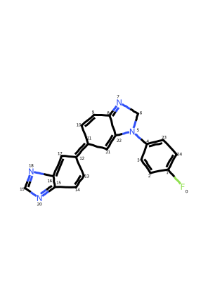 Fc1ccc(N2CN=c3ccc(=c4ccc5c(c4)N=CN=5)cc32)cc1